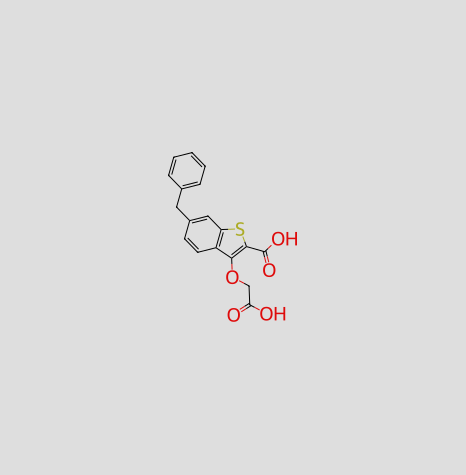 O=C(O)COc1c(C(=O)O)sc2cc(Cc3ccccc3)ccc12